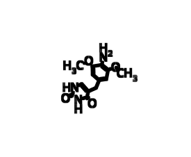 COc1cc(Cc2c[nH]c(=O)[nH]c2=O)cc(OC)c1N